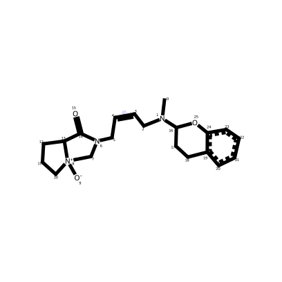 CN(C/C=C\CN1C[N+]2([O-])CCCC2C1=O)C1CCc2ccccc2O1